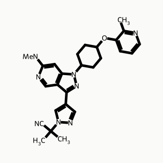 CNc1cc2c(cn1)c(-c1cnn(C(C)(C)C#N)c1)nn2C1CCC(Oc2cccnc2C)CC1